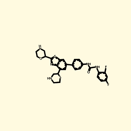 O=C(Nc1ccc(-c2cc(C3CNCCS3)c3nc(C4CNCCO4)sc3c2)cc1)Nc1ccc(F)cc1F